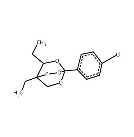 CCC1OC2(c3ccc(Cl)cc3)OCC1(CC)CO2